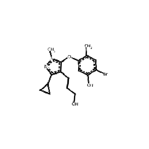 Cc1cc(Br)c(O)cc1Oc1c(CCCO)c(C2CC2)nn1C